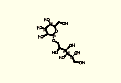 OCC1O[C@H](OCC(O)[C@@H](O)[C@H](O)[C@H](O)CO)C(O)[C@@H](O)[C@@H]1O